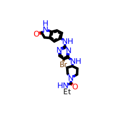 CCNC(=O)N1CCC(Nc2nc(Nc3ccc4c(c3)CC(=O)N4)ncc2Br)CC1